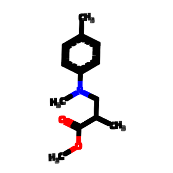 COC(=O)C(C)CN(C)c1ccc(C)cc1